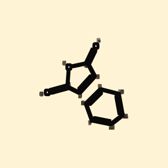 O=C1C=CC(=O)O1.c1ccccc1